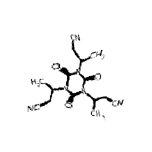 CC(CC#N)n1c(=O)n(C(C)CC#N)c(=O)n(C(C)CC#N)c1=O